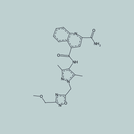 COCc1noc(Cn2nc(C)c(NC(=O)c3cc(C(N)=O)nc4ccccc34)c2C)n1